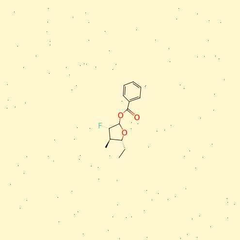 CC[C@H]1OC(OC(=O)c2ccccc2)[C@@H](F)[C@@H]1C